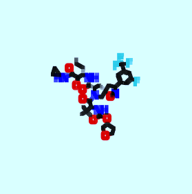 CCC[C@H](NC(=O)[C@@H]1C[C@@]2(CC(c3cc(F)cc(C(F)(F)F)c3)=NO2)CN1C(=O)[C@@H](NC(=O)O[C@@H]1CCOC1)C(C)(C)C)C(=O)C(=O)NC1CC1